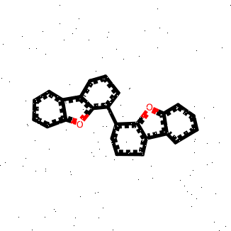 c1ccc2c(c1)oc1c(-c3cccc4c3oc3ccccc34)cccc12